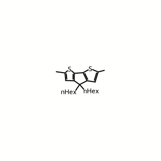 CCCCCCC1(CCCCCC)c2cc(C)sc2-c2sc(C)cc21